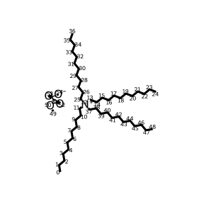 CCCCCCCCCCCC[N+](CCCCCCCCCCCC)(CCCCCCCCCCCC)CCCCCCCCCCCC.COS(=O)(=O)[O-]